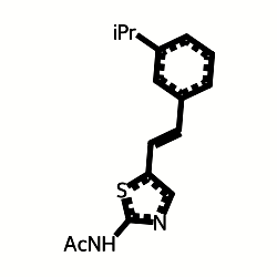 CC(=O)Nc1ncc(/C=C/c2cccc(C(C)C)c2)s1